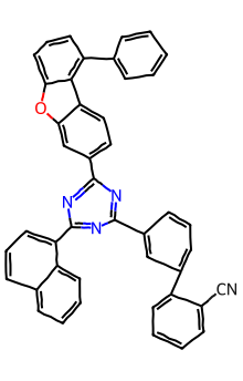 N#Cc1ccccc1-c1cccc(-c2nc(-c3ccc4c(c3)oc3cccc(-c5ccccc5)c34)nc(-c3cccc4ccccc34)n2)c1